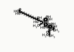 CCCCC(CCC[C@H](O)C(O)CCCCCCCCCCCCCC[C@@H](O)C(=O)O)O[C@H]1OC[C@H](O)[C@@H](O)[C@@H]1O[C@H]1OC[C@H](O)[C@@H](O)[C@@H]1O[C@H]1O[C@@H](COC(=O)CC(C)C)[C@H](OC(C)=O)[C@@H](O)[C@@H]1O